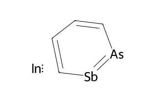 C1=C[As]=[Sb][CH]=C1.[In]